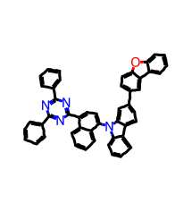 c1ccc(-c2nc(-c3ccccc3)nc(-c3ccc(-n4c5ccccc5c5ccc(-c6ccc7oc8ccccc8c7c6)cc54)c4ccccc34)n2)cc1